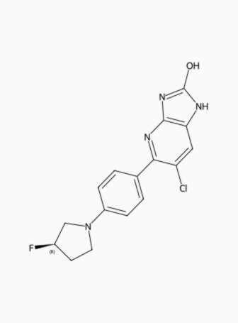 Oc1nc2nc(-c3ccc(N4CC[C@@H](F)C4)cc3)c(Cl)cc2[nH]1